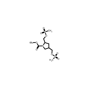 CC(C)(C)OC(=O)N1CC(COS(C)(=O)=O)CC1COS(C)(=O)=O